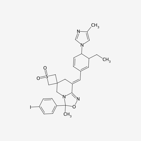 CCC1C=C(/C=C2\CC3(CN4C2=NOC4(C)c2ccc(I)cc2)CS(=O)(=O)C3)C=CC1n1cnc(C)c1